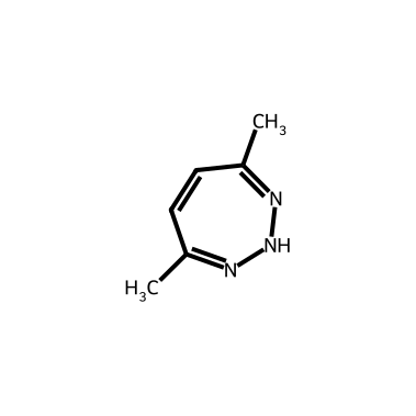 CC1=NNN=C(C)C=C1